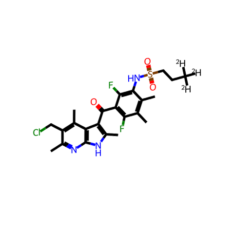 [2H]C([2H])([2H])CCS(=O)(=O)Nc1c(C)c(C)c(F)c(C(=O)c2c(C)[nH]c3nc(C)c(CCl)c(C)c23)c1F